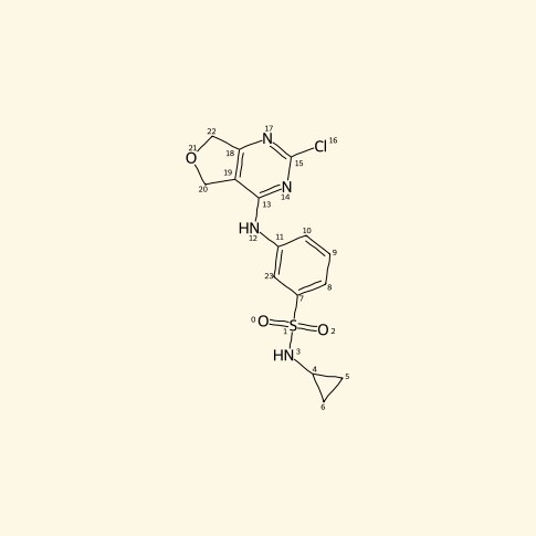 O=S(=O)(NC1CC1)c1cccc(Nc2nc(Cl)nc3c2COC3)c1